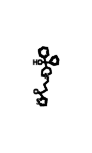 O=C(CCCN1CCC(C(O)(c2ccccc2)c2ccccc2)CC1)c1cccs1